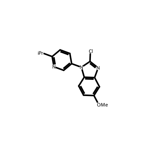 COc1ccc2c(c1)nc(Cl)n2-c1ccc(C(C)C)nc1